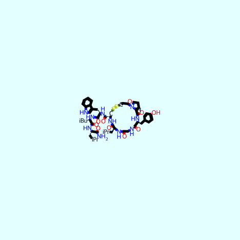 CCC(C)[C@H](NC(=O)[C@H](CC1=CNC2C=CC=CC12)NC(=O)[C@@H]1CSSCCC(=O)N2CCC[C@H]2C(=O)N[C@@H](CC2C=CC(O)=CC2)C(=O)NCC(=O)N[C@@H](CC(C)C)C(=O)N1)C(=O)N[C@@H](CC(C)C)C(N)=O